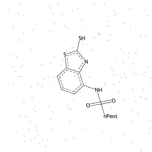 CCCCCS(=O)(=O)Nc1cccc2sc(S)nc12